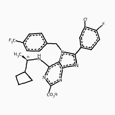 C[C@@H](Nc1nc(C(=O)O)nc2nc(-c3ccc(F)c(Cl)c3)n(Cc3ccc(C(F)(F)F)cc3)c12)C1CCC1